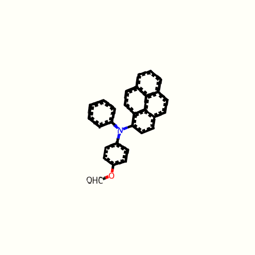 O=COc1ccc(N(c2ccccc2)c2ccc3ccc4cccc5ccc2c3c45)cc1